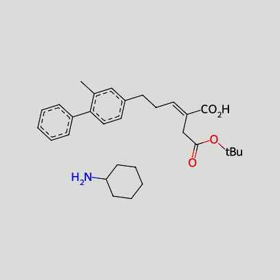 Cc1cc(CCC=C(CC(=O)OC(C)(C)C)C(=O)O)ccc1-c1ccccc1.NC1CCCCC1